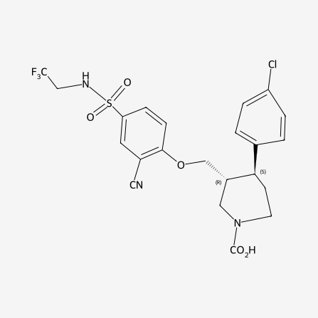 N#Cc1cc(S(=O)(=O)NCC(F)(F)F)ccc1OC[C@H]1CN(C(=O)O)CC[C@@H]1c1ccc(Cl)cc1